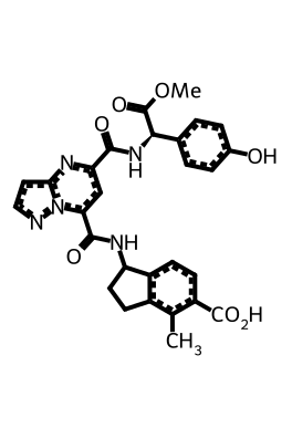 COC(=O)[C@H](NC(=O)c1cc(C(=O)NC2CCc3c2ccc(C(=O)O)c3C)n2nccc2n1)c1ccc(O)cc1